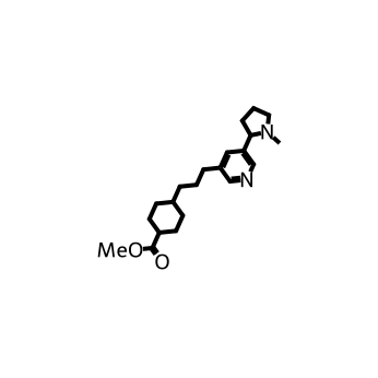 COC(=O)C1CCC(CCCc2cncc(C3CCCN3C)c2)CC1